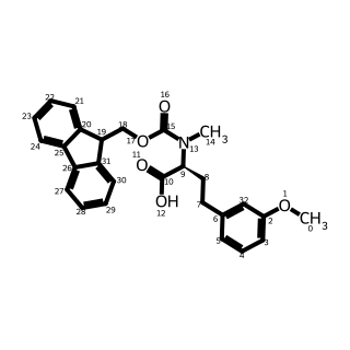 COc1cccc(CC[C@@H](C(=O)O)N(C)C(=O)OCC2c3ccccc3-c3ccccc32)c1